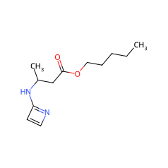 CCCCCOC(=O)CC(C)NC1=NC=C1